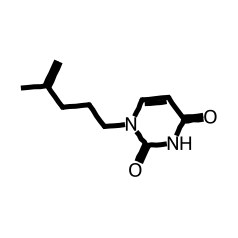 C=C(C)CCCn1ccc(=O)[nH]c1=O